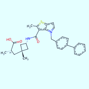 Cc1sc2ccn(Cc3ccc(-c4ccccc4)cc3)c2c1C(=O)N[C@H]1C[C@@](C)(C[C@H](C)C(=O)O)C1